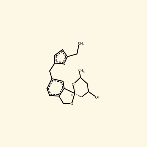 CCc1ccc(Cc2ccc3c(c2)[C@]2(CC(O)CC(C)O2)OC3)s1